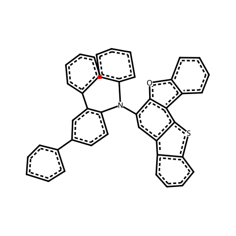 c1ccc(-c2ccc(N(c3ccccc3)c3cc4c5ccccc5sc4c4c3oc3ccccc34)c(-c3ccccc3)c2)cc1